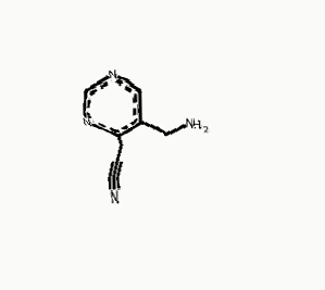 N#Cc1ncncc1CN